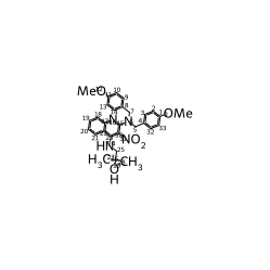 COc1ccc(CN(Cc2ccc(OC)cc2)c2nc3ccccc3c(NCC(C)(C)O)c2[N+](=O)[O-])cc1